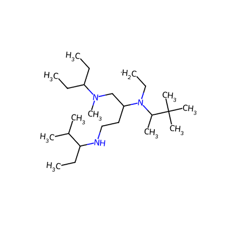 [CH2]CN(C(CCNC(CC)C(C)C)CN(C)C(CC)CC)C(C)C(C)(C)C